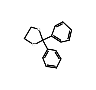 c1ccc(C2(c3ccccc3)OCCO2)cc1